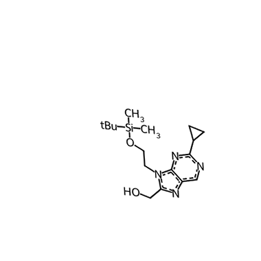 CC(C)(C)[Si](C)(C)OCCn1c(CO)nc2cnc(C3CC3)nc21